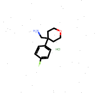 Cl.NCC1(c2ccc(F)cc2)CCOCC1